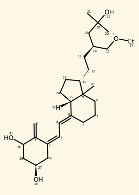 C=C1/C(=C\C=C2/CCCC3(C)[C@@H](CC[C@H](COCC)CC(C)(C)O)CC[C@@H]23)C[C@@H](O)CC1O